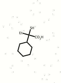 CCC(S)(C(=O)O)C1CCCCC1